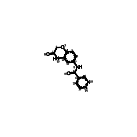 O=C1COc2ccc(NC(=O)c3ccnnc3)cc2N1